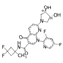 CC1(NC(=O)c2cn(-c3ncc(F)cc3F)c3nc(N4C[C@@H](O)[C@H](O)C4)ccc3c2=O)CC(F)(F)C1